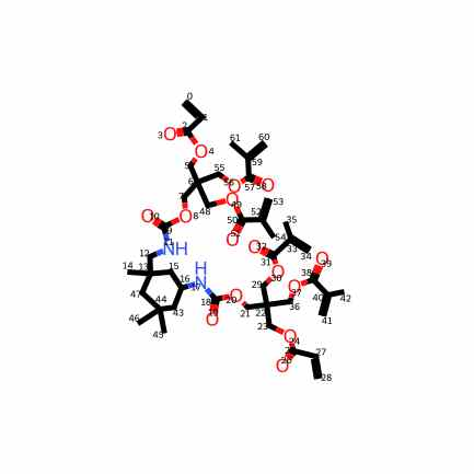 C=CC(=O)OCC(COC(=O)NCC1(C)CC(NC(=O)OCC(COC(=O)C=C)(COC(=O)C(=C)C)COC(=O)C(=C)C)CC(C)(C)C1)(COC(=O)C(=C)C)COC(=O)C(=C)C